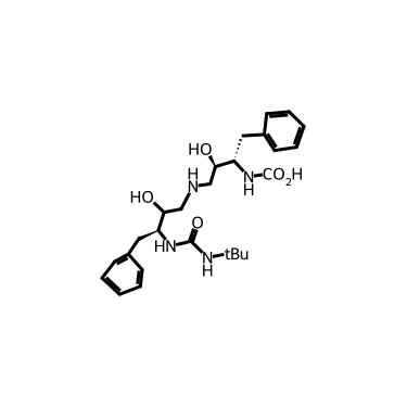 CC(C)(C)NC(=O)N[C@@H](Cc1ccccc1)C(O)CNC[C@@H](O)[C@H](Cc1ccccc1)NC(=O)O